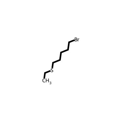 CCSCCCCCBr